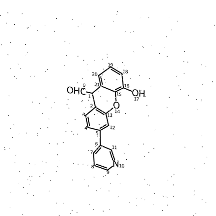 O=CC1c2ccc(-c3cccnc3)cc2Oc2c(O)cccc21